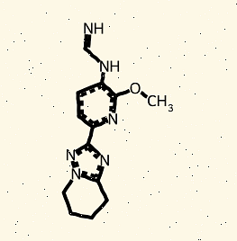 COc1nc(-c2nc3n(n2)CCCC3)ccc1NC=N